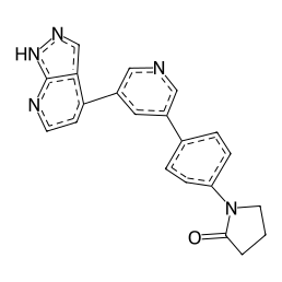 O=C1CCCN1c1ccc(-c2cncc(-c3ccnc4[nH]ncc34)c2)cc1